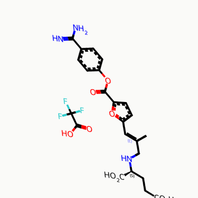 C/C(=C\c1ccc(C(=O)Oc2ccc(C(=N)N)cc2)o1)CN[C@@H](CCC(=O)O)C(=O)O.O=C(O)C(F)(F)F